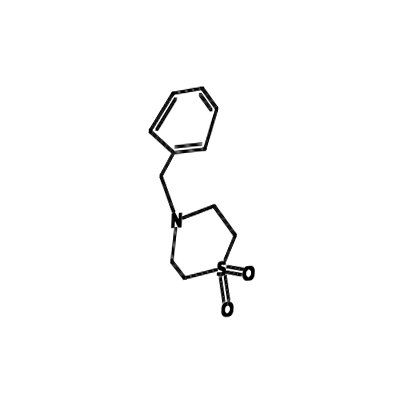 O=S1(=O)CCN(Cc2ccccc2)CC1